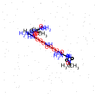 CCC(=O)C(CCCNC(N)=O)NC(=O)C(NC(=O)C(CCCCN)NC(=O)CCOCCOCCOCCNC(=O)CCOCCOCCOCCNC(=O)C(N)CCCCn1nnc2c1-c1ccccc1N(C(=O)CC(C)C)Cc1ccccc1-2)C(C)C